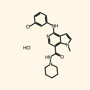 Cl.Cn1ccc2c(Nc3cccc(Cl)c3)ncc(C(=O)NN3CCCCC3)c21